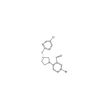 O=Cc1cc(Br)ccc1N1CC[C@H](Sc2ccc(Cl)cn2)C1